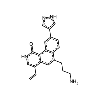 C=Cc1c[nH]c(=O)c2c1cc(CCCN)c1ccc(-c3cn[nH]c3)cc12